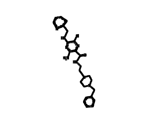 Nc1nc(NCc2ccccn2)c(Cl)nc1C(=O)NCCN1CCN(Cc2ccccc2)CC1